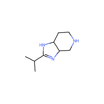 CC(C)C1=NC2CNCCC2N1